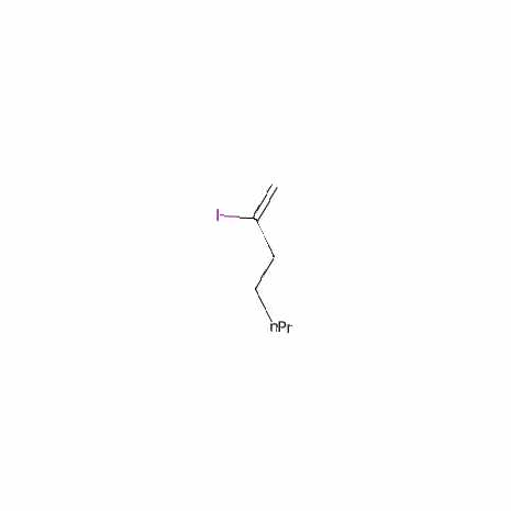 C=C(I)CCCCC